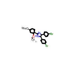 COc1ccc(C2=NC(c3ccc(Br)cc3)C(c3ccc(Br)cc3)N2)c(OCC(F)(F)F)c1